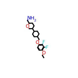 CCOc1ccc(OCC2CCC(C3CCC(CN)OC3)CC2)c(F)c1F